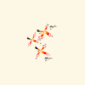 CP(=O)([O-])[O-].CP(=O)([O-])[O-].CP(=O)([O-])[O-].[Mo+3].[Mo+3]